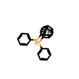 c1ccc(P[C]23[CH]4[CH]5[CH]6[CH]2[Fe]56432789[CH]3[CH]2[CH]7[C]8(Pc2ccccc2)[CH]39)cc1